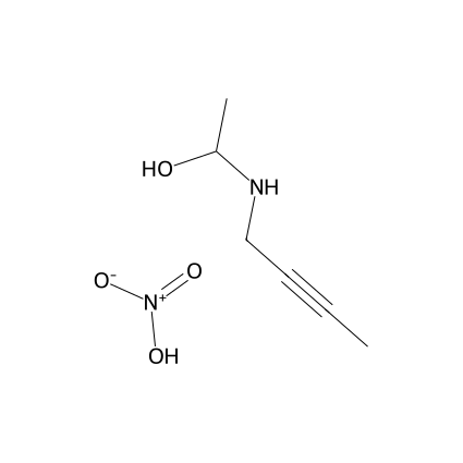 CC#CCNC(C)O.O=[N+]([O-])O